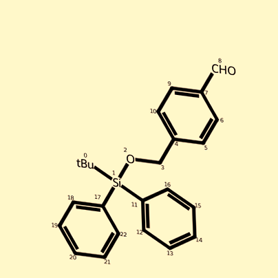 CC(C)(C)[Si](OCc1ccc(C=O)cc1)(c1ccccc1)c1ccccc1